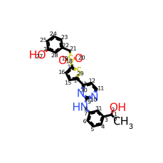 CC(O)c1cccc(Nc2nccc(-c3ccc(S(=O)(=O)Cc4cccc(O)c4)s3)n2)c1